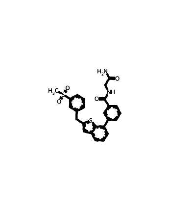 CS(=O)(=O)c1cccc(Cc2cc3cccc(-c4cccc(C(=O)NCC(N)=O)c4)c3s2)c1